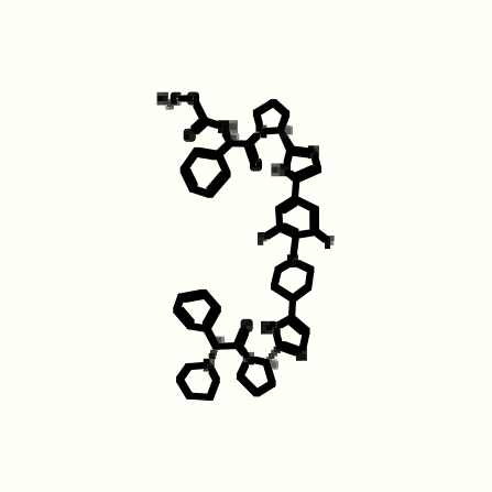 COC(=O)N[C@@H](C(=O)N1CCC[C@H]1c1ncc(-c2cc(F)c(N3CCC(c4cnc([C@@H]5CCCN5C(=O)[C@@H](c5ccccc5)N5CCCCC5)[nH]4)CC3)c(F)c2)[nH]1)c1ccccc1